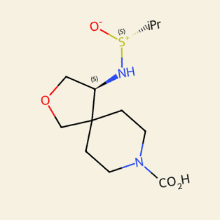 CC(C)[S@@+]([O-])N[C@@H]1COCC12CCN(C(=O)O)CC2